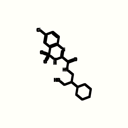 O=C(NCC(CO)C1CCCCC1)C1=Nc2ccc(Cl)cc2S(=O)(=O)N1